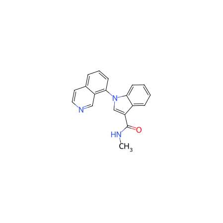 CNC(=O)c1cn(-c2cccc3ccncc23)c2ccccc12